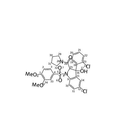 COc1ccc(S(=O)(=O)N2c3ccc(Cl)cc3C(O)(c3ccccc3Cl)C2C(=O)N2CCCC2)cc1OC